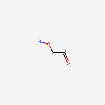 NOC[C]=O